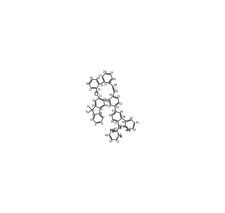 CC1(C)c2ccccc2-c2cc3c(cc21)Oc1ccccc1-c1ccccc1/C=C\c1ccc(-c2ccc4c(c2)c2cccnc2n4-c2ncccn2)cc1-3